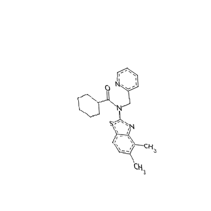 Cc1ccc2sc(N(Cc3ccccn3)C(=O)C3CCCCC3)nc2c1C